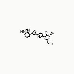 O=C(NC1CC1)C(CCC(F)(F)F)c1ccc(-n2cc(-c3ccnc4[nH]cnc34)cn2)nc1